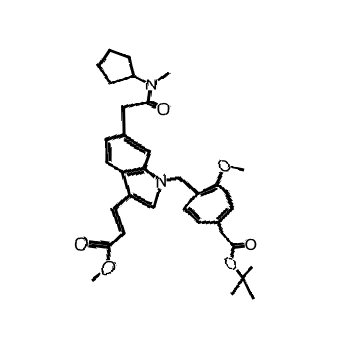 COC(=O)C=Cc1cn(Cc2ccc(C(=O)OC(C)(C)C)cc2OC)c2cc(CC(=O)N(C)C3CCCC3)ccc12